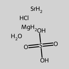 Cl.O.O=S(=O)(O)O.[MgH2].[SrH2]